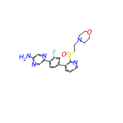 Nc1cnc(-c2ccc(-c3cccnc3[S+]([O-])CCN3CCOCC3)cc2F)cn1